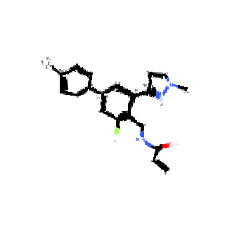 C=CC(=O)NCc1c(F)cc(-c2ccc(C(F)(F)F)cc2)cc1-c1ccn(C)n1